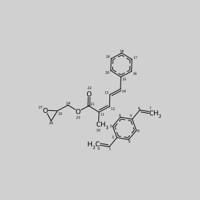 C=Cc1ccc(C=C)cc1.CC(=CC=Cc1ccccc1)C(=O)OCC1CO1